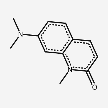 CN(C)c1ccc2ccc(=O)n(C)c2c1